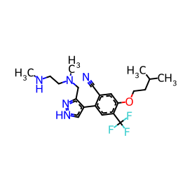 CNCCN(C)Cc1n[nH]cc1-c1cc(C(F)(F)F)c(OCCC(C)C)cc1C#N